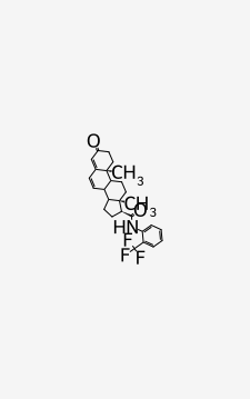 C[C@]12CCC(=O)C=C1C=CC1C2CC[C@@]2(C)C1CC[C@@H]2C(=O)Nc1ccccc1C(F)(F)F